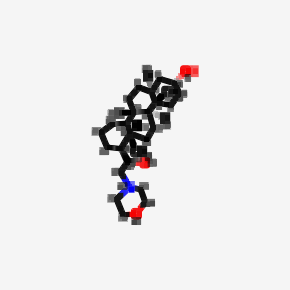 C[C@]12CC[C@@H](O)C[C@@H]1CC[C@@H]1[C@@H]2CC[C@]2(C)[C@@H](C(=O)CN3CCOCC3)CCC[C@@H]12